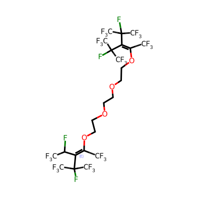 FC(/C(=C(\OCCOCCOCCOC(=C(C(F)(C(F)(F)F)C(F)(F)F)C(F)(C(F)(F)F)C(F)(F)F)C(F)(F)F)C(F)(F)F)C(F)(C(F)(F)F)C(F)(F)F)C(F)(F)F